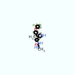 CNCC(=O)Nc1ccc(C)c(C2(Cc3ccc(Oc4cc(F)c(F)cc4F)cc3)CCNCC2)c1